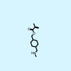 C=C(C)C(=O)OCC1CCC(CNC)CC1